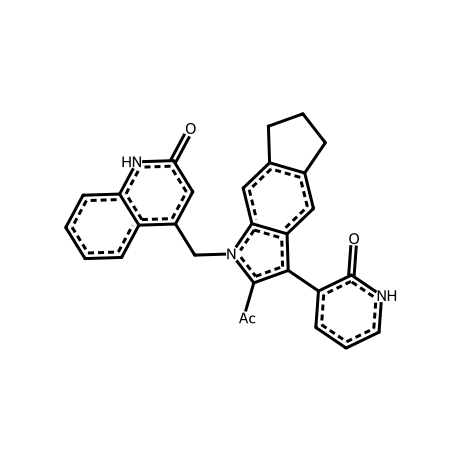 CC(=O)c1c(-c2ccc[nH]c2=O)c2cc3c(cc2n1Cc1cc(=O)[nH]c2ccccc12)CCC3